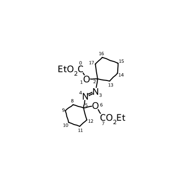 CCOC(=O)OC1(N=NC2(OC(=O)OCC)CCCCC2)CCCCC1